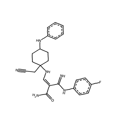 N#CCC1(N/C=C(\C(=N)Nc2ccc(F)cc2)C(N)=O)CCC(Nc2ccccc2)CC1